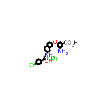 Cl.Cl.Nc1cc(Oc2ccc3c(c2)C[C@@H](NC[C@@H](O)c2ccc(Cl)cc2)CC3)cc(C(=O)O)c1